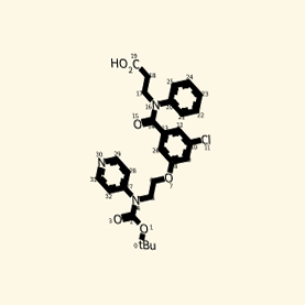 CC(C)(C)OC(=O)N(CCOc1cc(Cl)cc(C(=O)N(CCC(=O)O)c2ccccc2)c1)c1ccncc1